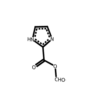 O=[C]OC(=O)c1ncc[nH]1